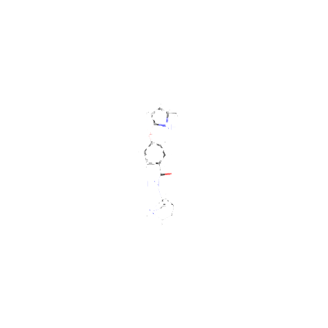 O=C(NC1CC2CCN(CC2)C1)c1ccc(Oc2ccc(C(F)(F)F)[nH]2)cc1